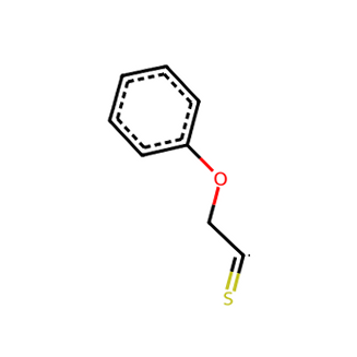 S=[C]COc1ccccc1